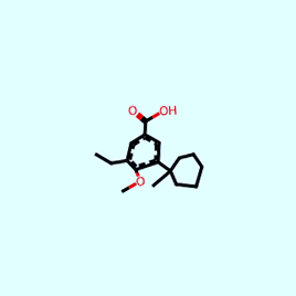 CCc1cc(C(=O)O)cc(C2(C)CCCCC2)c1OC